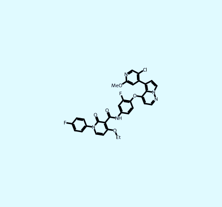 CCOc1ccn(-c2ccc(F)cc2)c(=O)c1C(=O)Nc1ccc(Oc2ccnn3ccc(-c4cc(OC)ncc4Cl)c23)c(F)c1